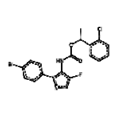 CC(OC(=O)Nc1c(F)cnn1-c1ccc(Br)cc1)c1ccccc1Cl